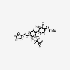 CCCCOc1ccc(-c2ccc(CCC3CCCO3)c(F)c2OC(=S)N(C)C)c(F)c1F